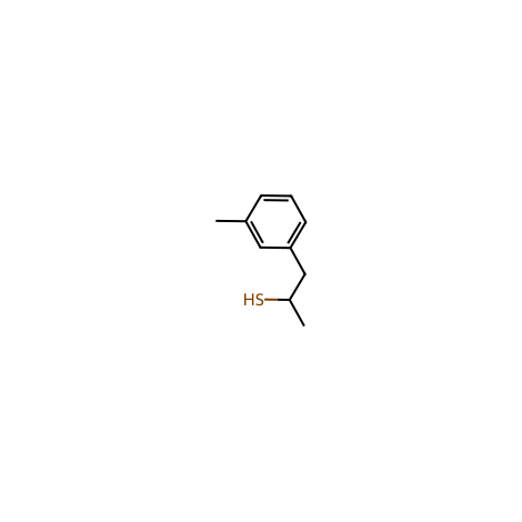 Cc1cccc(CC(C)S)c1